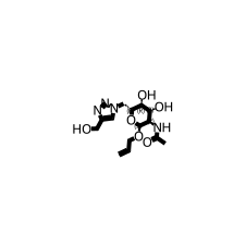 C=CCO[C@H]1O[C@H](Cn2cc(CO)nn2)[C@H](O)[C@H](O)[C@H]1NC(C)=O